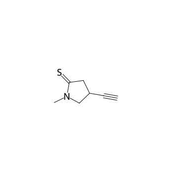 C#CC1CC(=S)N(C)C1